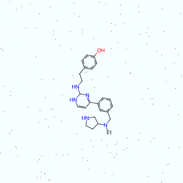 CCN(Cc1cccc(C2=NC(NCCc3ccc(O)cc3)NC=C2)c1)C1CCNC1